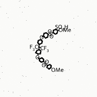 COc1ccc(S(=O)(=O)c2ccc(Oc3ccc(C(c4ccc(Oc5ccc(S(=O)(=O)c6ccc(OC)c(S(=O)(=O)O)c6)cc5)cc4)(C(F)(F)F)C(F)(F)F)cc3)cc2)cc1